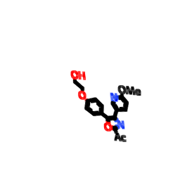 COc1ccc(-c2nc(C(C)=O)oc2-c2ccc(OCCO)cc2)cn1